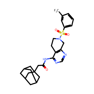 O=C(CC12CC3CC(CC(C3)C1)C2)Nc1ncnc2c1CCN(S(=O)(=O)c1cccc(C(F)(F)F)c1)C2